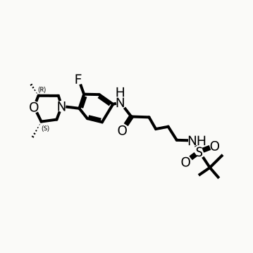 C[C@@H]1CN(c2ccc(NC(=O)CCCCNS(=O)(=O)C(C)(C)C)cc2F)C[C@H](C)O1